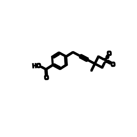 CC1(C#CCc2ccc(C(=O)O)cc2)CS(=O)(=O)C1